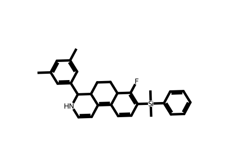 Cc1cc(C)cc(C2NC=CC3=C4C=CC([Si](C)(C)c5ccccc5)=C(F)C4CCC32)c1